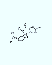 O=CC(=O)c1c2cc([N+](=O)[O-])ccc2cn1-c1ccc(Cl)cc1